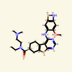 CCN(CCN(C)C)C(=O)[C@H]1CCc2c(sc3ncnc(Nc4cc5s[nH]c5cc4OC)c23)C1